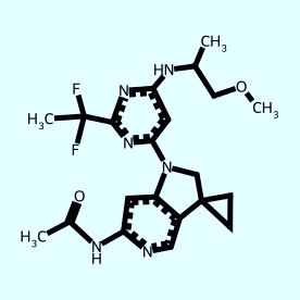 COCC(C)Nc1cc(N2CC3(CC3)c3cnc(NC(C)=O)cc32)nc(C(C)(F)F)n1